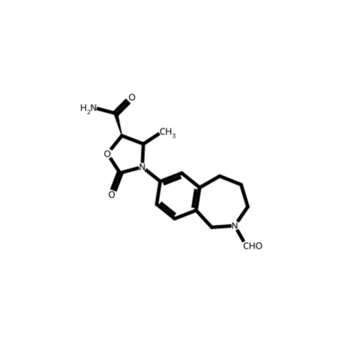 CC1[C@H](C(N)=O)OC(=O)N1c1ccc2c(c1)CCCN(C=O)C2